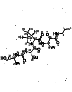 C=CCNC(=O)C(=O)C(CCC)NC(=O)[C@@H]1[C@@H]2[C@H](CN1C(=O)[C@@H](NC(=O)N[C@H](C(=O)O)C(C)C)C(C)(C)C)C2(C)C